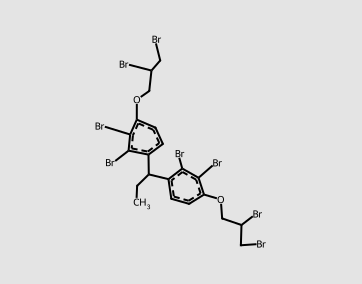 CCC(c1ccc(OCC(Br)CBr)c(Br)c1Br)c1ccc(OCC(Br)CBr)c(Br)c1Br